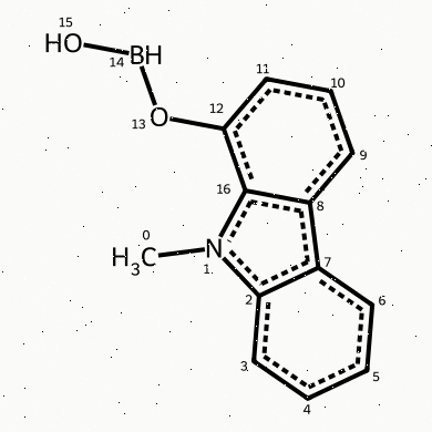 Cn1c2ccccc2c2cccc(OBO)c21